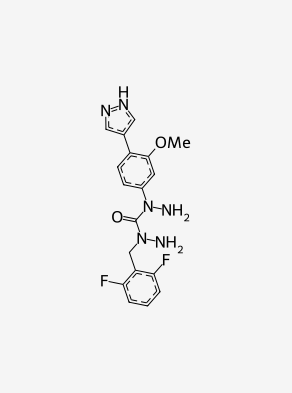 COc1cc(N(N)C(=O)N(N)Cc2c(F)cccc2F)ccc1-c1cn[nH]c1